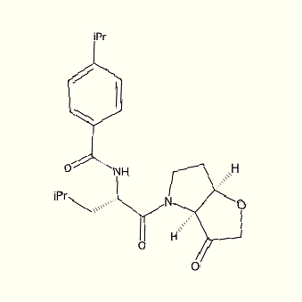 CC(C)C[C@H](NC(=O)c1ccc(C(C)C)cc1)C(=O)N1CC[C@H]2OCC(=O)[C@H]21